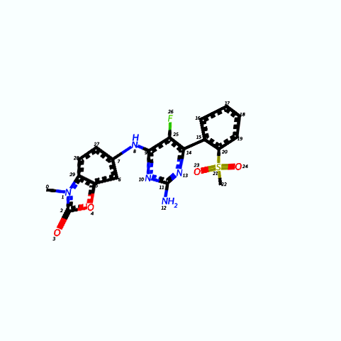 Cn1c(=O)oc2cc(Nc3nc(N)nc(-c4ccccc4S(C)(=O)=O)c3F)ccc21